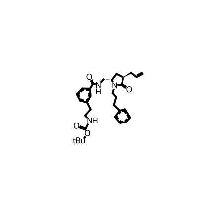 C=CC[C@@H]1C[C@@H](CNC(=O)c2cccc(CCNC(=O)OC(C)(C)C)c2)N(CCCc2ccccc2)C1=O